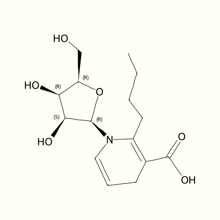 CCCCC1=C(C(=O)O)CC=CN1[C@@H]1O[C@H](CO)[C@H](O)[C@@H]1O